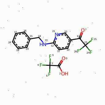 O=C(O)C(F)(F)F.O=C(c1ccc(NCc2ccccc2)nc1)C(F)(F)F